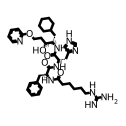 N=C(N)NCCCCCC(=O)N[C@@H](Cc1ccccc1)C(=O)N[C@@H](Cc1c[nH]cn1)C(=O)N[C@@H](CC1CCCCC1)[C@@H](O)CCOc1ccccn1